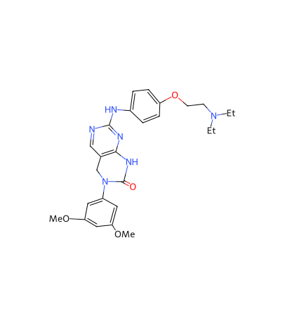 CCN(CC)CCOc1ccc(Nc2ncc3c(n2)NC(=O)N(c2cc(OC)cc(OC)c2)C3)cc1